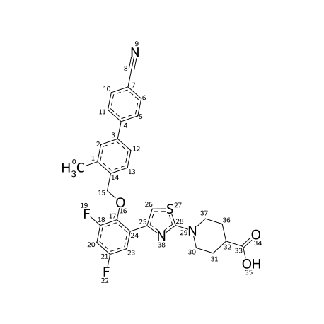 Cc1cc(-c2ccc(C#N)cc2)ccc1COc1c(F)cc(F)cc1-c1csc(N2CCC(C(=O)O)CC2)n1